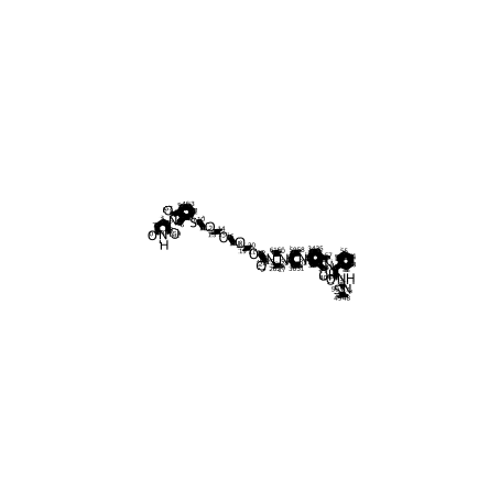 O=C1CCC(N2Cc3c(SCCOCCOCCOCCOCC(=O)N4CCN(C5CCN(c6ccc7c(c6)C(O)N(C(C(=O)Nc6nccs6)c6ccccc6)C7)CC5)CC4)cccc3C2=O)C(=O)N1